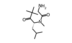 CC(C)C[C@H](C(=O)C(C)(C)C)N(C)C(=O)CN